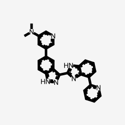 CN(C)c1cncc(-c2ccc3[nH]nc(-c4nc5c(-c6ccccn6)cccc5[nH]4)c3c2)c1